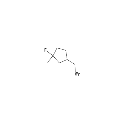 CC(C)CC1CCC(C)(F)C1